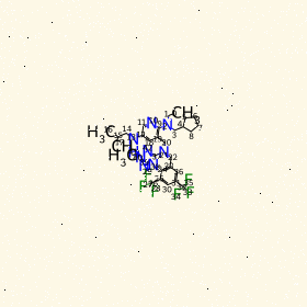 CCN(CC1CCCC1)c1ncc(NCC(C)C)cc1CN(Cc1cc(C(F)(F)F)cc(C(F)(F)F)c1)c1nnn(C)n1